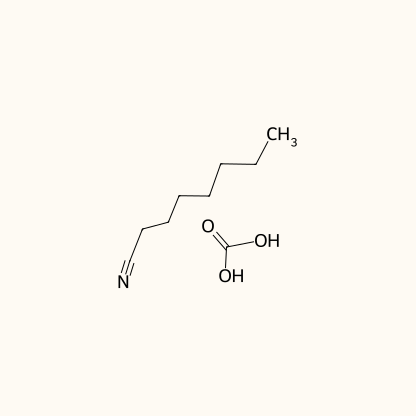 CCCCCCCC#N.O=C(O)O